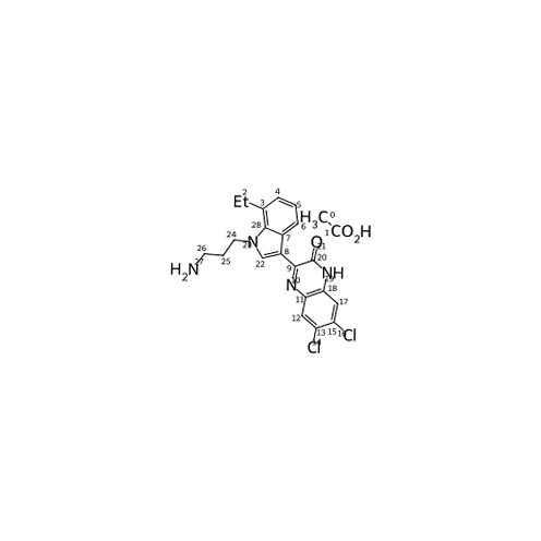 CC(=O)O.CCc1cccc2c(-c3nc4cc(Cl)c(Cl)cc4[nH]c3=O)cn(CCCN)c12